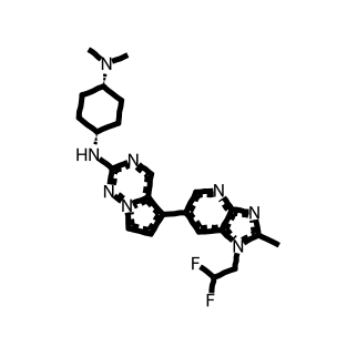 Cc1nc2ncc(-c3ccn4nc(N[C@H]5CC[C@@H](N(C)C)CC5)ncc34)cc2n1CC(F)F